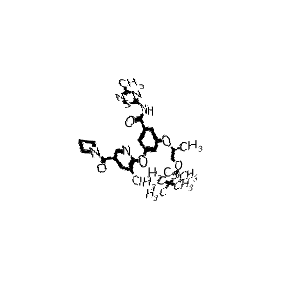 Cc1nsc(NC(=O)c2cc(Oc3ncc(C(=O)N4CCC4)cc3Cl)cc(O[C@@H](C)CO[Si](C)(C)C(C)(C)C)c2)n1